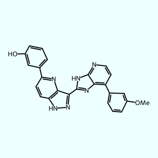 COc1cccc(-c2ccnc3[nH]c(-c4n[nH]c5ccc(-c6cccc(O)c6)nc45)nc23)c1